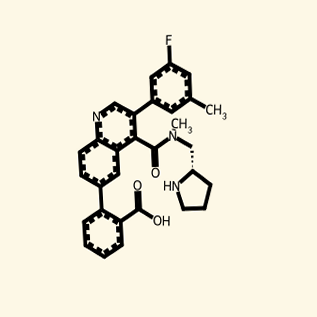 Cc1cc(F)cc(-c2cnc3ccc(-c4ccccc4C(=O)O)cc3c2C(=O)N(C)C[C@@H]2CCCN2)c1